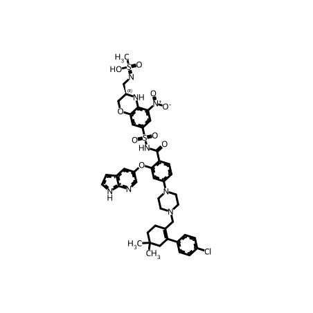 CC1(C)CCC(CN2CCN(c3ccc(C(=O)NS(=O)(=O)c4cc5c(c([N+](=O)[O-])c4)N[C@H](CN=S(C)(=O)O)CO5)c(Oc4cnc5[nH]ccc5c4)c3)CC2)=C(c2ccc(Cl)cc2)C1